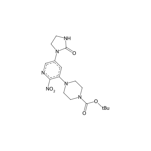 CC(C)(C)OC(=O)N1CCN(c2cc(N3CCNC3=O)cnc2[N+](=O)[O-])CC1